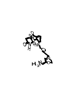 NCC1CN(CCOCCNc2cccc3c2C[N+]([O-])(C2CCC(=O)NC2=O)C3=O)CCO1